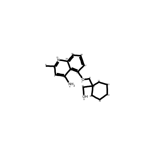 Cc1cc(N)c2c(OCC3(CO)CCCCC3)cccc2n1